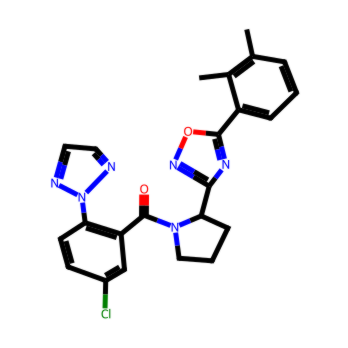 Cc1cccc(-c2nc(C3CCCN3C(=O)c3cc(Cl)ccc3-n3nccn3)no2)c1C